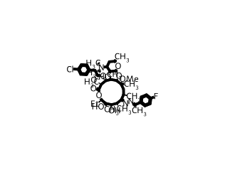 CC[C@H]1OC(=O)[C@H](C)[C@@H](OC(=O)Cc2ccc(Cl)cc2)[C@H](C)[C@@H](OC2OC(C)CC(N(C)C)C2O)[C@](C)(OC)C[C@@H](C)/C(=N\N=C(/C)c2ccc(F)cc2)[C@H](C)[C@@H](O)[C@]1(C)O